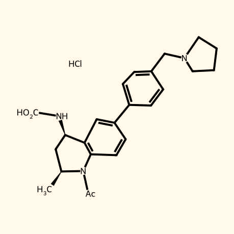 CC(=O)N1c2ccc(-c3ccc(CN4CCCC4)cc3)cc2[C@H](NC(=O)O)C[C@@H]1C.Cl